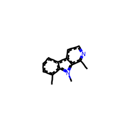 Cc1cccc2c3ccnc(C)c3n(C)c12